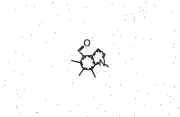 Cc1c(C)c(C)c2c(ccn2C)c1C=O